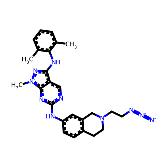 Cc1cccc(C)c1Nc1nn(C)c2nc(Nc3ccc4c(c3)CN(CCN=[N+]=[N-])CC4)ncc12